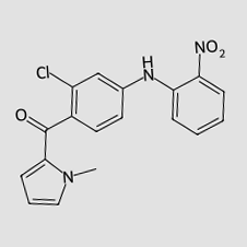 Cn1cccc1C(=O)c1ccc(Nc2ccccc2[N+](=O)[O-])cc1Cl